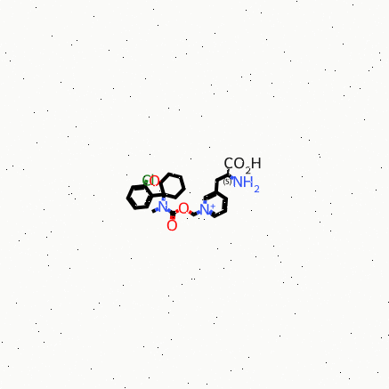 CN(C(=O)OC[n+]1cccc(C[C@H](N)C(=O)O)c1)C1(c2ccccc2Cl)CCCCC1=O